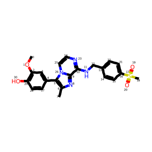 COc1cc(-c2c(C)nc3c(NCc4ccc(S(C)(=O)=O)cc4)nccn23)ccc1O